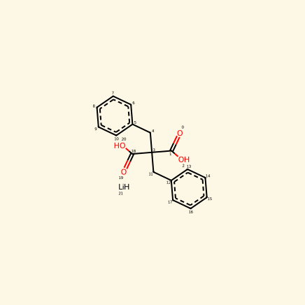 O=C(O)C(Cc1ccccc1)(Cc1ccccc1)C(=O)O.[LiH]